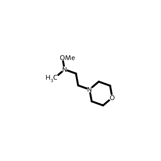 CON(C)CCN1CCOCC1